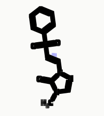 Cn1cnn(/C=C/S(=O)(=O)c2ccccc2)c1=O